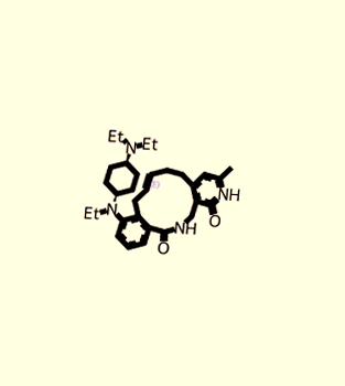 CCN(CC)[C@H]1CC[C@H](N(CC)c2cccc3c2C/C=C/CCc2cc(C)[nH]c(=O)c2CNC3=O)CC1